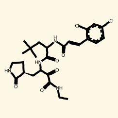 CCNC(=O)C(=O)C(C[C@@H]1CCNC1=O)NC(=O)C(CC(C)(C)C)NC(=O)/C=C/c1ccc(Cl)cc1Cl